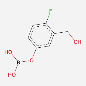 OCc1cc(OB(O)O)ccc1F